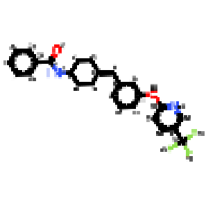 O=C(NC1CCC(=Cc2cccc(Oc3ccc(C(F)(F)F)cn3)c2)CC1)c1ccccc1